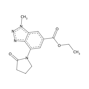 CCOC(=O)c1cc(N2CCCC2=O)c2nnn(C)c2c1